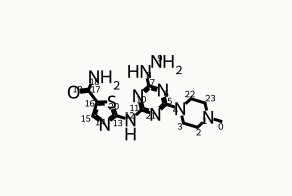 CN1CCN(c2nc(NN)nc(Nc3ncc(C(N)=O)s3)n2)CC1